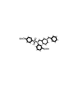 COc1ccc(S(=O)(=O)N(CC2CCCN(Cc3ccccc3)C2)c2cccc(OC)c2)cc1